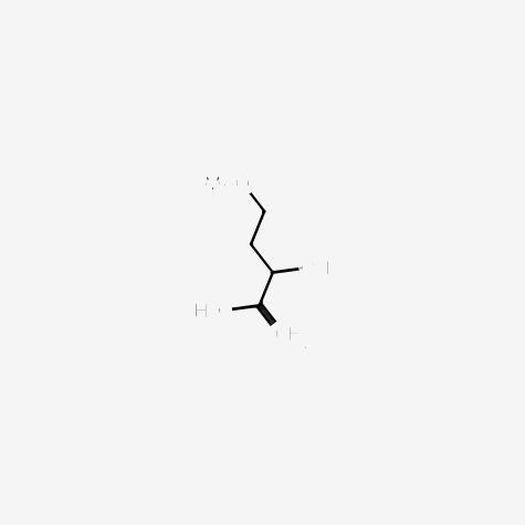 C=C(C)C(O)CCOC